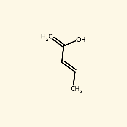 C=C(O)C=CC